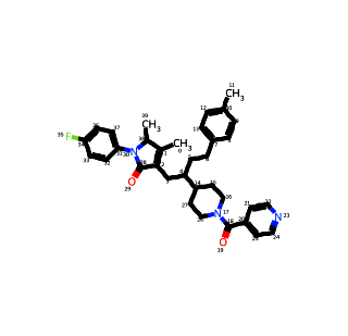 CC1=C(CC(CCc2ccc(C)cc2)C2CCN(C(=O)c3ccncc3)CC2)C(=O)N(c2ccc(F)cc2)C1C